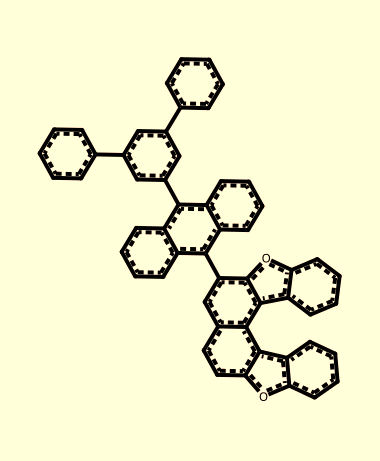 c1ccc(-c2cc(-c3ccccc3)cc(-c3c4ccccc4c(-c4cc5ccc6oc7ccccc7c6c5c5c4oc4ccccc45)c4ccccc34)c2)cc1